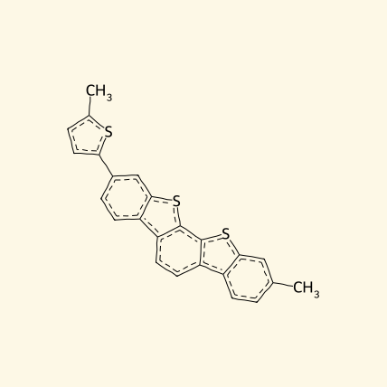 Cc1ccc2c(c1)sc1c2ccc2c3ccc(-c4ccc(C)s4)cc3sc21